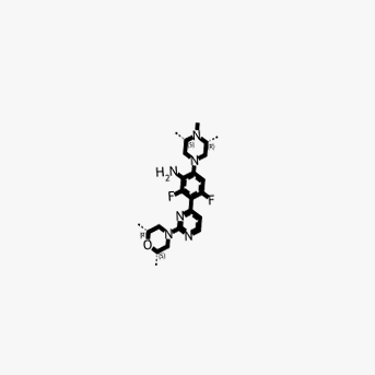 C[C@@H]1CN(c2nccc(-c3c(F)cc(N4C[C@@H](C)N(C)[C@@H](C)C4)c(N)c3F)n2)C[C@H](C)O1